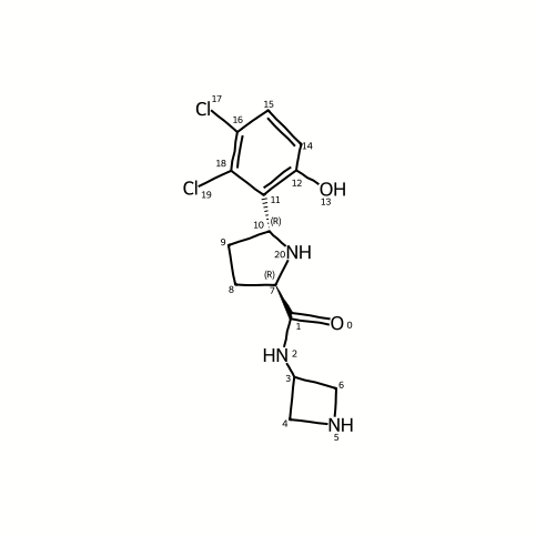 O=C(NC1CNC1)[C@H]1CC[C@H](c2c(O)ccc(Cl)c2Cl)N1